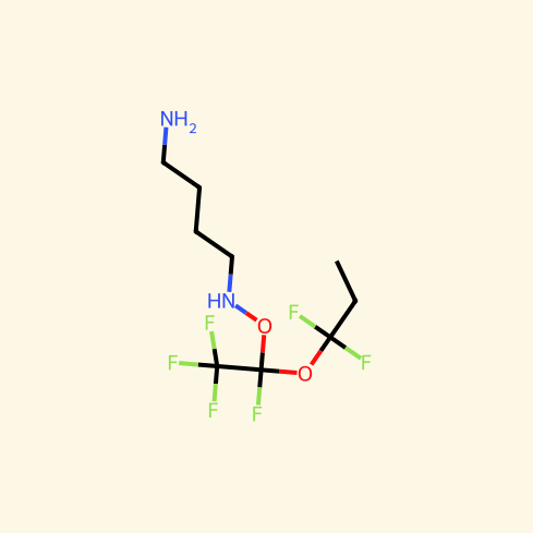 CCC(F)(F)OC(F)(ONCCCCN)C(F)(F)F